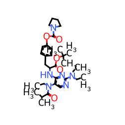 CCN(CC)c1ncc(N(CC)C(=O)C(C)C)c(NC(Cc2ccc(OC(=O)N3CCCC3)cc2)C(=O)OC(C)(C)C)n1